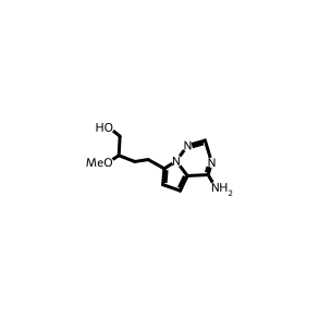 COC(CO)CCc1ccc2c(N)ncnn12